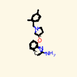 Cc1ccc(CN2CC[C@H](Oc3cccc4ccc(N)nc34)C2)c(C)c1